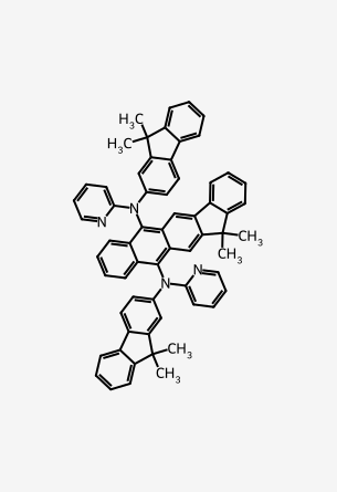 CC1(C)c2ccccc2-c2ccc(N(c3ccccn3)c3c4ccccc4c(N(c4ccc5c(c4)C(C)(C)c4ccccc4-5)c4ccccn4)c4cc5c(cc34)-c3ccccc3C5(C)C)cc21